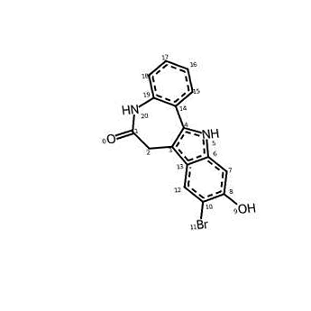 O=C1Cc2c([nH]c3cc(O)c(Br)cc23)-c2ccccc2N1